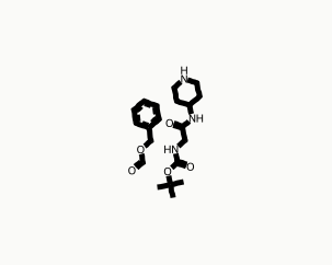 CC(C)(C)OC(=O)NCC(=O)NC1CCNCC1.O=COCc1ccccc1